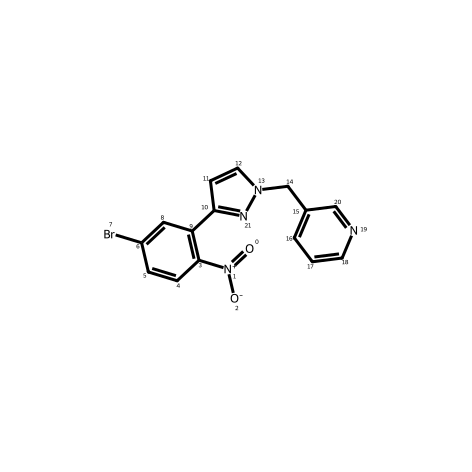 O=[N+]([O-])c1ccc(Br)cc1-c1ccn(Cc2cccnc2)n1